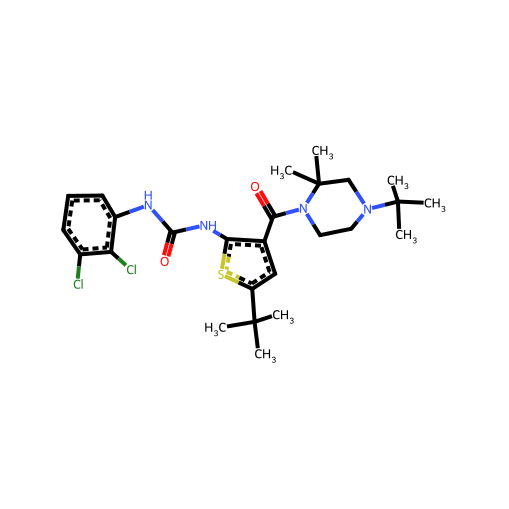 CC(C)(C)c1cc(C(=O)N2CCN(C(C)(C)C)CC2(C)C)c(NC(=O)Nc2cccc(Cl)c2Cl)s1